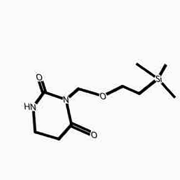 C[Si](C)(C)CCOCN1C(=O)CCNC1=O